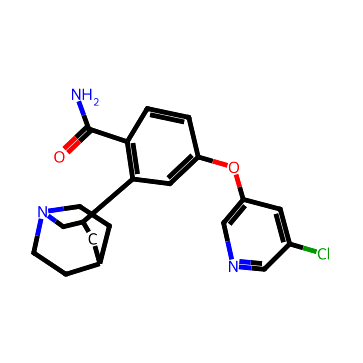 NC(=O)c1ccc(Oc2cncc(Cl)c2)cc1C1CC2CCN(CC2)C1